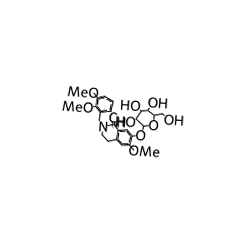 COc1cc2c(cc1OC1OC(CO)C(O)C(O)C1O)[C@@H]1Cc3ccc(OC)c(OC)c3CN1CC2